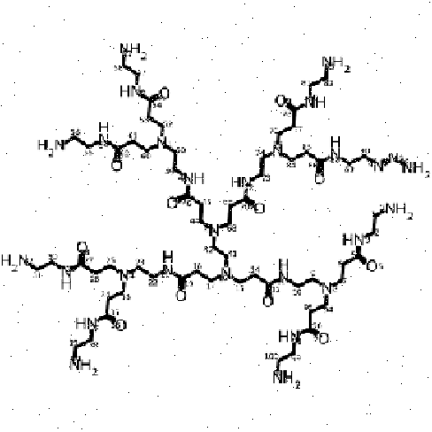 NCCNC(=O)CCN(CCNC(=O)CCN(CCC(=O)NCCN(CCC(=O)NCCN)CCC(=O)NCCN)CCN(CCC(=O)NCCN(CCC(=O)NCCN)CCC(=O)NCCN)CCC(=O)NCCN(CCC(=O)NCCN)CCC(=O)NCCN=NN)CCC(=O)NCCN